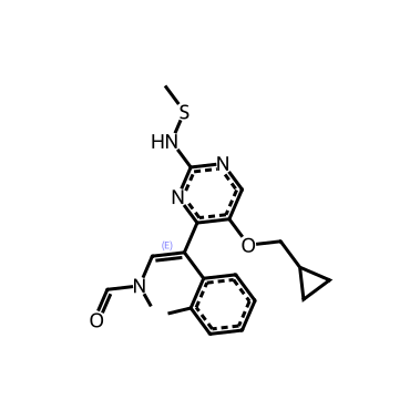 CSNc1ncc(OCC2CC2)c(/C(=C/N(C)C=O)c2ccccc2C)n1